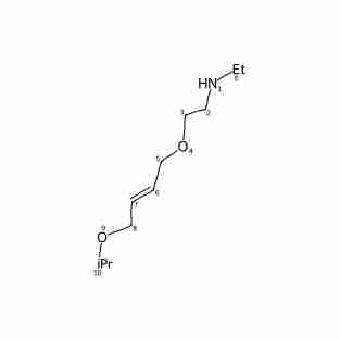 CCNCCOC/C=C/COC(C)C